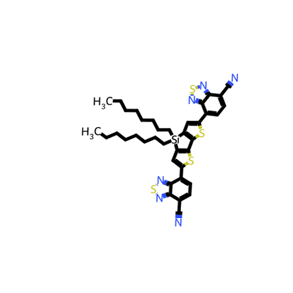 CCCCCCCC[Si]1(CCCCCCCC)c2cc(-c3ccc(C#N)c4nsnc34)sc2-c2sc(-c3ccc(C#N)c4nsnc34)cc21